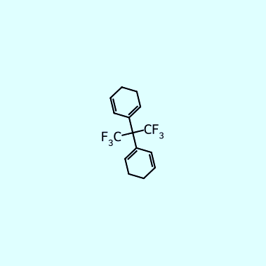 FC(F)(F)C(C1=CCCC=C1)(C1=CCCC=C1)C(F)(F)F